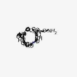 C[C@@H]1CC[C@@H]2CN1C(=O)/C=C/C(=O)NCC[C@@H](C(=O)NCCOCCN)NC(=O)Cc1ccccc1CNC(=O)[C@H](Cc1ccco1)NC2=O